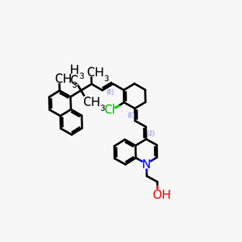 Cc1ccc2ccccc2c1C(C)(C)C(C)/C=C/C1=C(Cl)C(=C/C=C2/C=CN(CCO)c3ccccc32)/CCC1